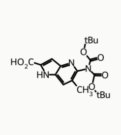 Cc1cc2[nH]c(C(=O)O)cc2nc1N(C(=O)OC(C)(C)C)C(=O)OC(C)(C)C